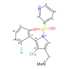 CNCc1cn(S(=O)(=O)c2cccnc2)c(-c2ccccc2F)c1Cl